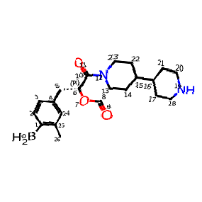 Bc1ccc(C[C@@H](OC=O)C(=O)N2CCC(C3CCNCC3)CC2)cc1C